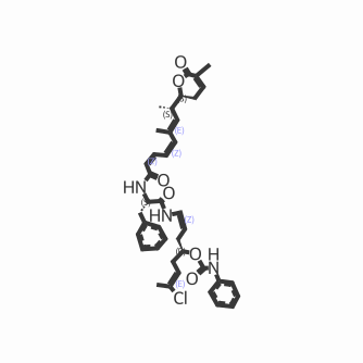 CC1=CC[C@@H]([C@@H](C)/C=C(C)/C=C\C=C/C(=O)N[C@@H](Cc2ccccc2)C(=O)N/C=C\C[C@H](C/C=C(\C)Cl)OC(=O)Nc2ccccc2)OC1=O